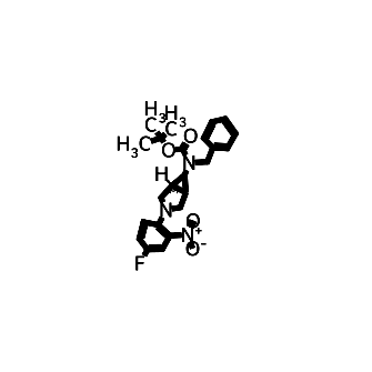 CC(C)(C)OC(=O)N(Cc1ccccc1)C1C2CN(c3ccc(F)cc3[N+](=O)[O-])C[C@H]21